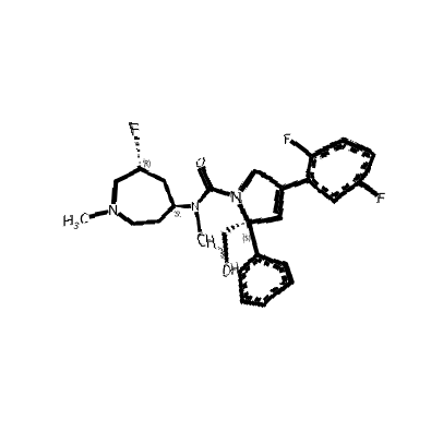 CN1CC[C@H](N(C)C(=O)N2CC(c3cc(F)ccc3F)=C[C@@]2(CO)c2ccccc2)C[C@@H](F)C1